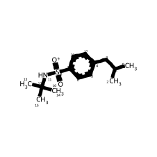 CC(C)Cc1ccc(S(=O)(=O)NC(C)(C)C)cc1